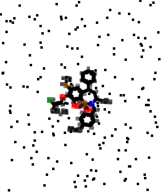 CCCCC1CC(c2ccccc2)c2cc(SCC)c(O/C=C(\F)C(=O)OCC)cc2S(O)(O)N1Cc1ccc(OC)cc1